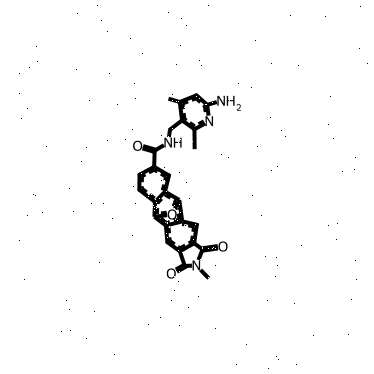 Cc1cc(N)nc(C)c1CNC(=O)c1ccc2c(c1)c1oc2c2cc3c(cc21)C(=O)N(C)C3=O